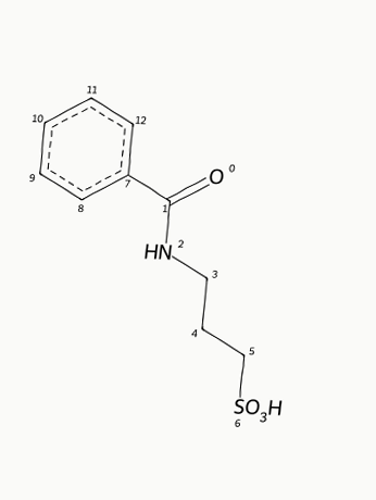 O=C(NCCCS(=O)(=O)O)c1ccccc1